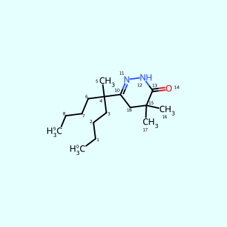 CCCCC(C)(CCCC)C1=NNC(=O)C(C)(C)C1